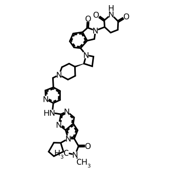 CN(C)C(=O)c1cc2cnc(Nc3ccc(CN4CCC([C@@H]5CCN5c5cccc6c5CN(C5CCC(=O)NC5=O)C6=O)CC4)cn3)nc2n1C1CCCC1